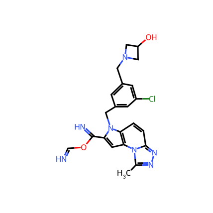 Cc1nnc2ccc3c(cc(C(=N)OC=N)n3Cc3cc(Cl)cc(CN4CC(O)C4)c3)n12